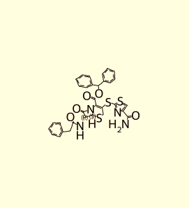 NC(=O)c1csc(SC2=C(C(=O)OC(c3ccccc3)c3ccccc3)N3C(=O)[C@@H](NC(=O)Cc4ccccc4)[C@@H]3SC2)n1